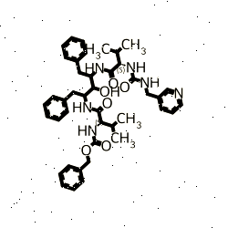 CC(C)[C@H](NC(=O)NCc1cccnc1)C(=O)NC(Cc1ccccc1)C(O)C(Cc1ccccc1)NC(=O)[C@@H](NC(=O)OCc1ccccc1)C(C)C